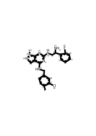 Cc1ccc(CNc2nc(NCC(N)c3ccccc3F)nc3c2cnn3I)cc1Cl